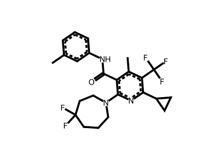 Cc1cccc(NC(=O)c2c(N3CCCC(F)(F)CC3)nc(C3CC3)c(C(F)(F)F)c2C)c1